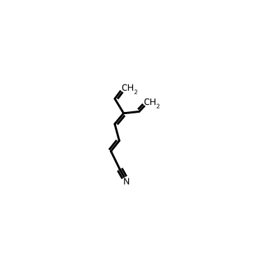 C=CC(C=C)=C/C=C/C#N